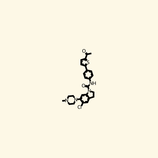 CC(=O)c1ccc(-c2ccc(NC(=O)N3CCc4cc(Cl)c(N5CCN(C)CC5)cc43)cc2)s1